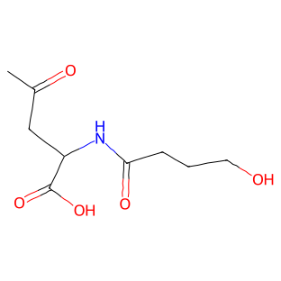 CC(=O)CC(NC(=O)CCCO)C(=O)O